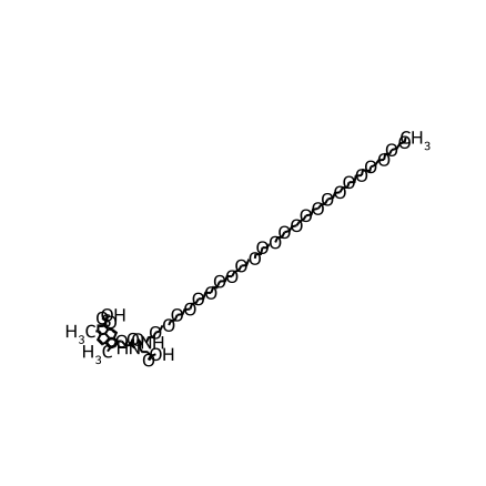 COCCOCCOCCOCCOCCOCCOCCOCCOCCOCCOCCOCCOCCOCCOCCOCCOCCOCCOCCOCCOCCOCCOCCOCCNC(=O)C(CCC(=O)O)NC(=O)COc1cc(C)c2c3c1C=CC1C(S(=O)(=O)O)=CC(C)=C(C=C2)C31